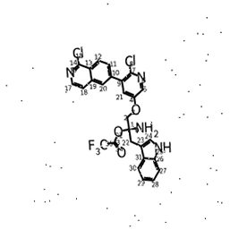 N[C@@](COc1cnc(Cl)c(-c2ccc3c(Cl)nccc3c2)c1)(Cc1c[nH]c2ccccc12)OC(=O)C(F)(F)F